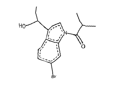 CC(C)C(=O)n1cc(C(C)O)c2ccc(Br)cc21